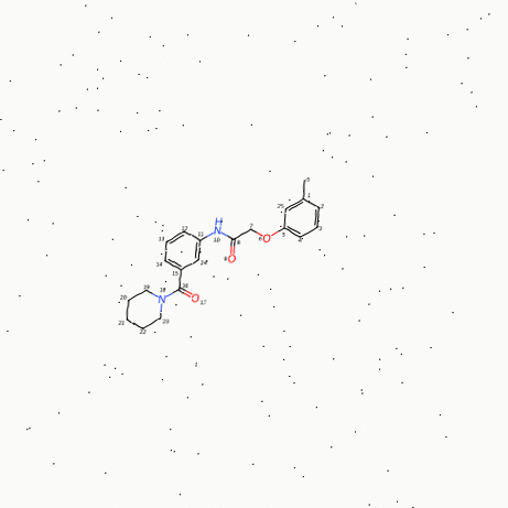 Cc1cccc(OCC(=O)Nc2cccc(C(=O)N3CCCCC3)c2)c1